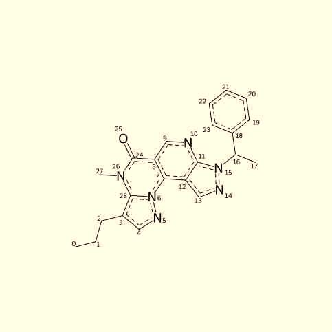 CCCc1cnn2c3c(cnc4c3cnn4C(C)c3ccccc3)c(=O)n(C)c12